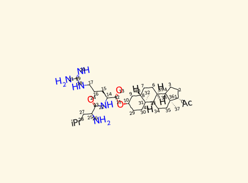 CC(=O)[C@H]1CC[C@H]2[C@@H]3CC[C@H]4C[C@H](OC(=O)[C@H](CCCNC(=N)N)NC(=O)[C@@H](N)CC(C)C)CC[C@]4(C)[C@H]3CC[C@]12C